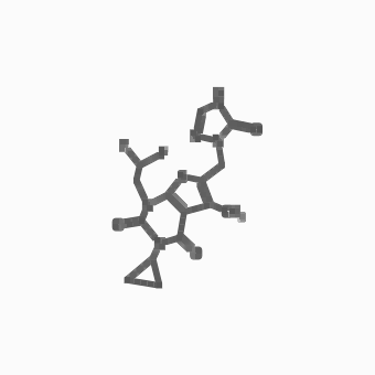 Cc1c(Cn2nc[nH]c2=O)sc2c1c(=O)n(C1CC1)c(=O)n2CC(F)F